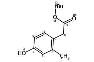 Cc1cc(O)ccc1CC(=O)OC(C)(C)C